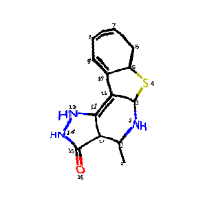 CC1NC2SC3CC=CC=C3C2=C2NNC(=O)C21